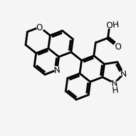 O=C(O)Cc1c(-c2ccc3c4c(ccnc24)CCO3)c2ccccc2c2[nH]ncc12